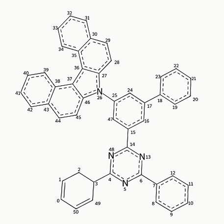 C1=CCC(c2nc(-c3ccccc3)nc(-c3cc(-c4ccccc4)cc(-n4c5ccc6ccccc6c5c5c6ccccc6ccc54)c3)n2)C=C1